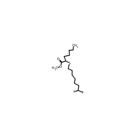 CCCCCC(SCCCCCCC(F)F)C(=O)OC